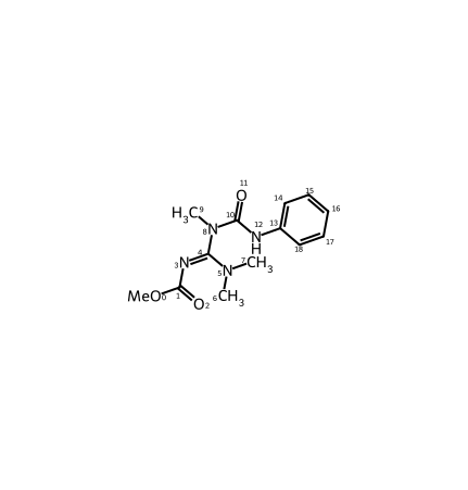 COC(=O)N=C(N(C)C)N(C)C(=O)Nc1ccccc1